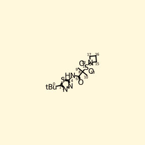 CC(C)(C)c1nnc(NC(=O)C(C)(C)S(=O)(=O)N2CCC2)s1